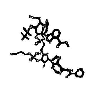 COC(=O)c1cccc2c1nnn2[C@@H]1O[C@H](CO)C(O[Si](C)(C)C(C)(C)C)[C@H]1OP(=O)(OCCC#N)OC[C@H]1O[C@@H](n2cnc3c(NC(=O)c4ccccc4)ncnc32)[C@H](F)[C@@H]1OP(=O)(O)OCCC#N